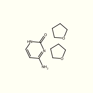 C1CCOC1.C1CCOC1.Nc1cc[nH]c(=O)n1